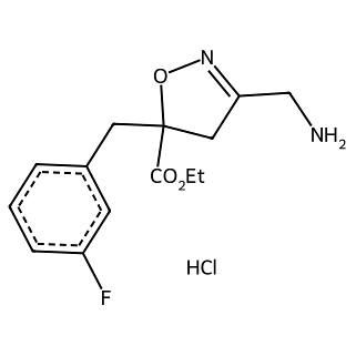 CCOC(=O)C1(Cc2cccc(F)c2)CC(CN)=NO1.Cl